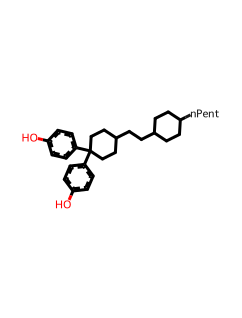 CCCCCC1CCC(CCC2CCC(c3ccc(O)cc3)(c3ccc(O)cc3)CC2)CC1